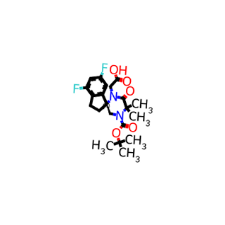 CC(C)(C)OC(=O)N1C[C@]2(CCc3c(F)cc(F)cc32)N(CC(=O)O)C(=O)C1(C)C